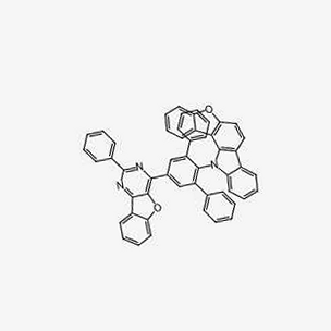 c1ccc(-c2nc(-c3cc(-c4ccccc4)c(-n4c5ccccc5c5ccc6oc7ccccc7c6c54)c(-c4ccccc4)c3)c3oc4ccccc4c3n2)cc1